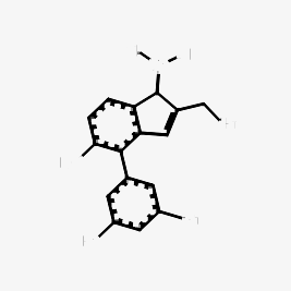 Cc1ccc2c(c1-c1cc(C(C)C)cc(C(C)C)c1)C=C(CC(C)C)[CH]2[Zr]([Cl])[Cl]